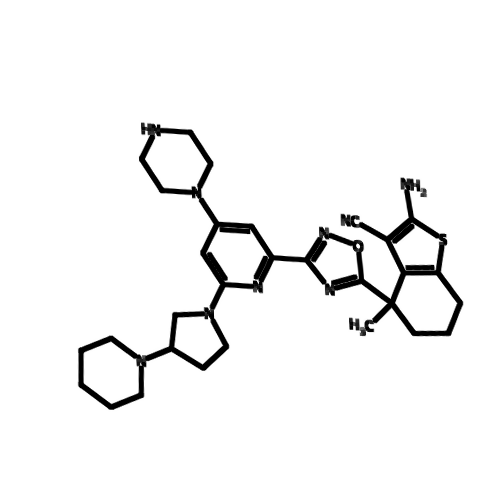 CC1(c2nc(-c3cc(N4CCNCC4)cc(N4CCC(N5CCCCC5)C4)n3)no2)CCCc2sc(N)c(C#N)c21